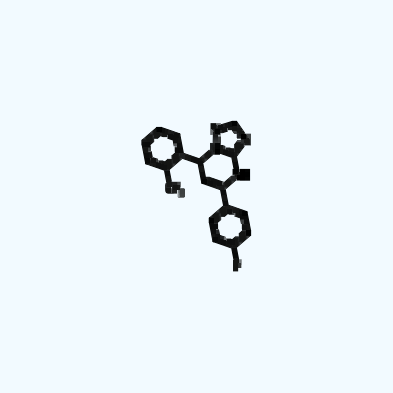 Fc1ccc(C2=CC(c3ccccc3C(F)(F)F)n3ncnc3N2)cc1